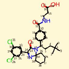 CC(C)(C)CC[C@H](c1ccc(C(=O)NCCC(=O)O)cc1)N1C(=O)C(c2cc(Cl)cc(Cl)c2)=NC12CCCCC2